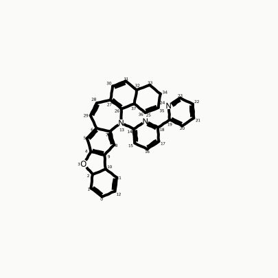 C1=CC2Oc3cc4c(cc3C2C=C1)N(c1cccc(-c2ccccn2)n1)C1=C(C=C4)C=CC2CCC=CC12